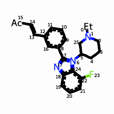 CCN1CCCC(n2c(-c3cccc(/C=C/C(C)=O)c3)nc3cccc(F)c32)C1